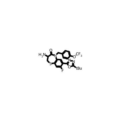 CC(C)(C)c1nnc(-c2cc3c(cc2F)SCC(N)C(=O)N3Cc2ccc(OC(F)(F)F)cc2)o1